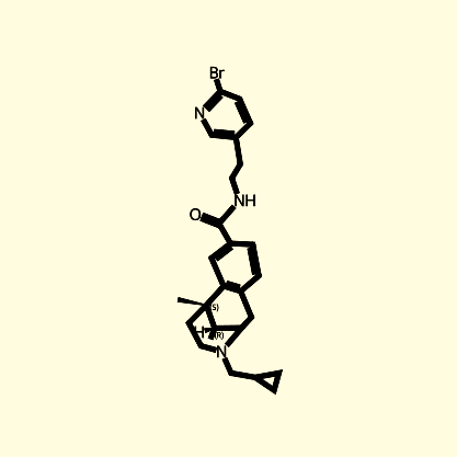 C[C@H]1C2Cc3ccc(C(=O)NCCc4ccc(Br)nc4)cc3[C@@]1(C)CCN2CC1CC1